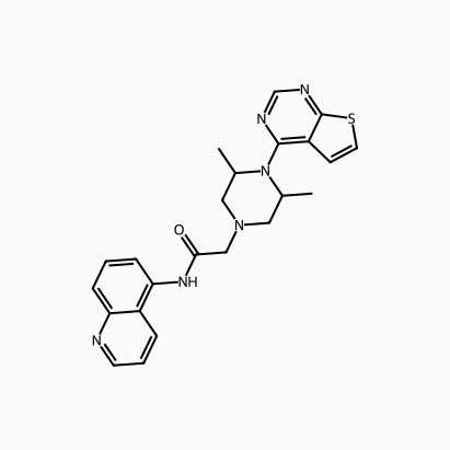 CC1CN(CC(=O)Nc2cccc3ncccc23)CC(C)N1c1ncnc2sccc12